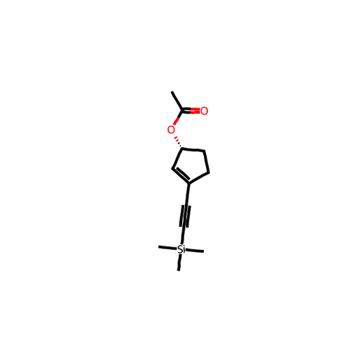 CC(=O)O[C@H]1C=C(C#C[Si](C)(C)C)CC1